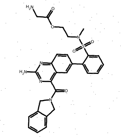 CN(CCOC(=O)CN)S(=O)(=O)c1ccccc1-c1ccc2nc(N)nc(C(=O)N3Cc4ccccc4C3)c2c1